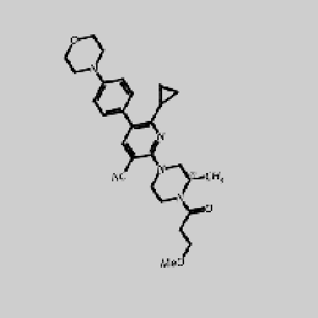 COCCC(=O)N1CCN(c2nc(C3CC3)c(-c3ccc(N4CCOCC4)cc3)cc2C#N)C[C@H]1C